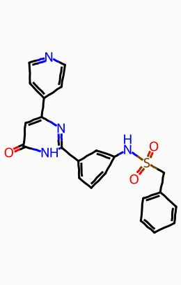 O=c1cc(-c2ccncc2)nc(-c2cccc(NS(=O)(=O)Cc3ccccc3)c2)[nH]1